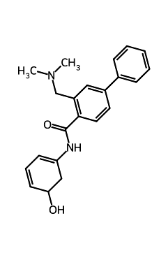 CN(C)Cc1cc(-c2ccccc2)ccc1C(=O)NC1=CC=CC(O)C1